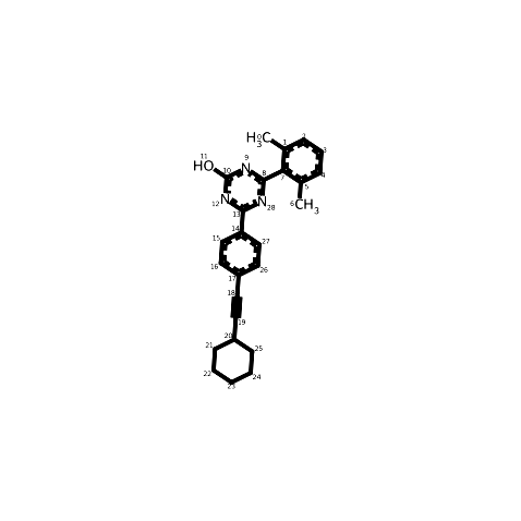 Cc1cccc(C)c1-c1nc(O)nc(-c2ccc(C#CC3CCCCC3)cc2)n1